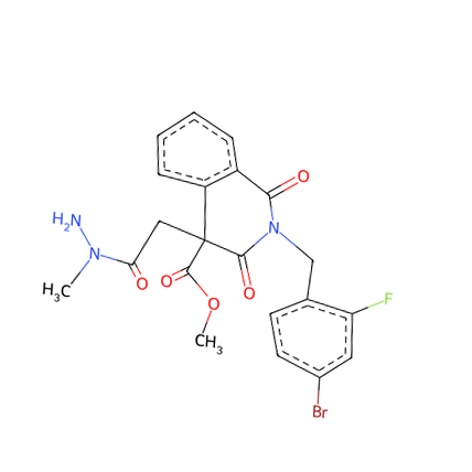 COC(=O)C1(CC(=O)N(C)N)C(=O)N(Cc2ccc(Br)cc2F)C(=O)c2ccccc21